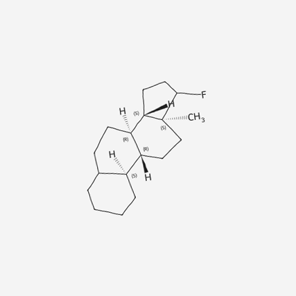 C[C@]12CC[C@H]3[C@@H](CCC4CCCC[C@@H]43)[C@@H]1CCC2F